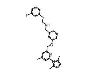 Cc1cc(COc2cccc(CNCCc3cccc(F)c3)c2)nc(-n2c(C)ccc2C)c1